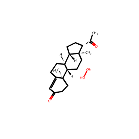 CC(=O)[C@H]1CC[C@H]2[C@@H]3CCC4=CC(=O)CC[C@]4(C)[C@H]3CC[C@]12C.OO